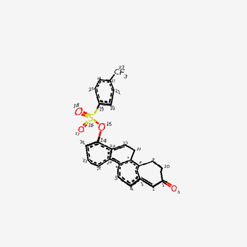 O=C1C=c2ccc3c(c2CC1)CC=c1c(OS(=O)(=O)c2ccc(C(F)(F)F)cc2)cccc1=3